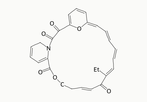 CC\C1=C/C=C/C=C/C=C2/C=CC=C(O2)C(=O)C(=O)N2CC=CC=C2C(=O)OCC/C=C/C1=O